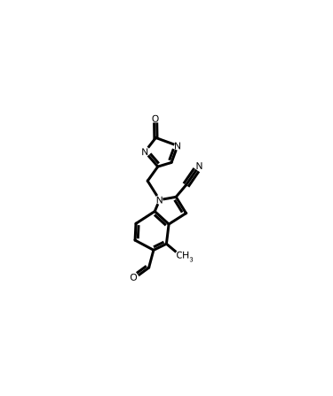 Cc1c(C=O)ccc2c1cc(C#N)n2CC1=NC(=O)N=C1